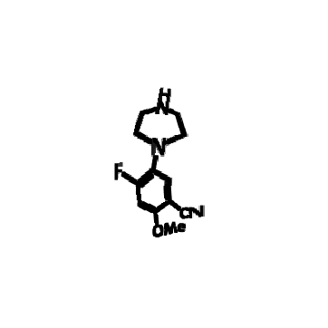 COc1cc(F)c(N2CCNCC2)cc1C#N